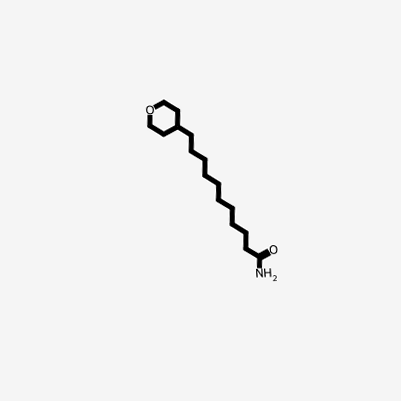 NC(=O)CCCCCCCCCCC1CCOCC1